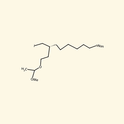 CCCCCCCCCCCCCCC[C@@H](CI)CCOC(C)OC